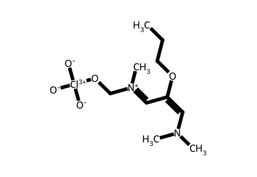 CCCOC(=CN(C)C)C=[N+](C)CO[Cl+3]([O-])([O-])[O-]